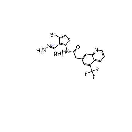 N/N=C(\N)c1c(Br)csc1NC(=O)Cc1cc(C(F)(F)F)c2cccnc2c1